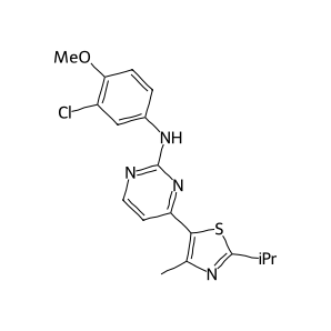 COc1ccc(Nc2nccc(-c3sc(C(C)C)nc3C)n2)cc1Cl